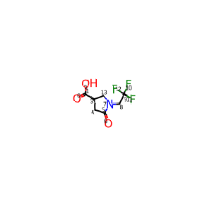 O=C(O)C1CC(=O)N(CC(F)(F)F)C1